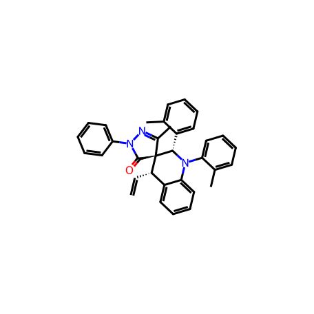 C=C[C@H]1c2ccccc2N(c2ccccc2C)[C@@H](c2ccccc2C)[C@]12C(=O)N(c1ccccc1)N=C2C